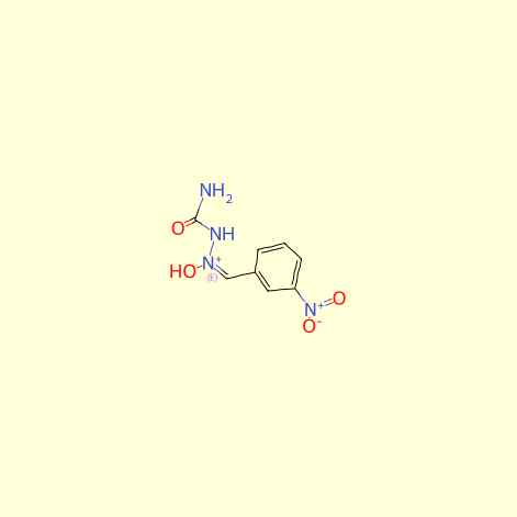 NC(=O)N/[N+](O)=C\c1cccc([N+](=O)[O-])c1